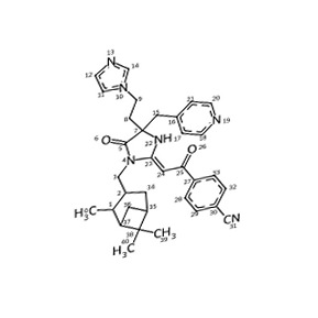 CC1C(CN2C(=O)C(CCn3ccnc3)(Cc3ccncc3)NC2=CC(=O)c2ccc(C#N)cc2)CC2CC1C2(C)C